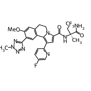 COc1cc2c(cc1-c1nnn(C)n1)-c1c(-c3ccc(F)cn3)cc(C(=O)N[C@@](C)(CC(F)(F)F)C(N)=O)n1CC2